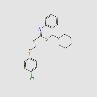 Clc1ccc(SC=CC(=Nc2ccccc2)SCC2CCCCC2)cc1